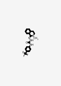 CN1CCc2ccccc2C1=NNC(=O)Nc1ccc(C(F)(F)F)cc1